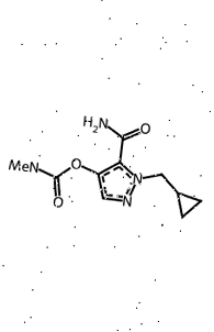 CNC(=O)Oc1cnn(CC2CC2)c1C(N)=O